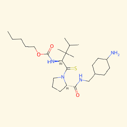 CCCCCOC(=O)N[C@H](C(=S)N1CCC[C@H]1C(=O)NCC1CCC(N)CC1)C(C)(C)C(C)C